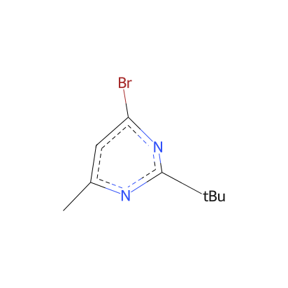 Cc1cc(Br)nc(C(C)(C)C)n1